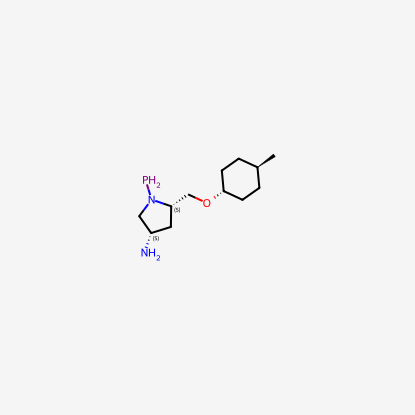 C[C@H]1CC[C@H](OC[C@@H]2C[C@H](N)CN2P)CC1